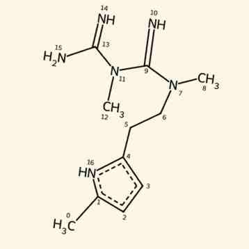 Cc1ccc(CCN(C)C(=N)N(C)C(=N)N)[nH]1